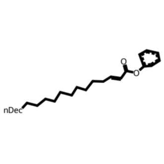 CCCCCCCCCCCCCCCCCCCC/C=C/C(=O)Oc1ccccc1